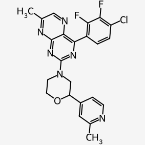 Cc1cc(C2CN(c3nc(-c4ccc(Cl)c(F)c4F)c4ncc(C)nc4n3)CCO2)ccn1